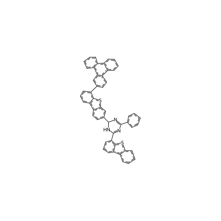 c1ccc(C2=NC(c3ccc4c(c3)sc3c(-c5ccc6c7ccccc7c7ccccc7c6c5)cccc34)NC(c3cccc4c3sc3ccccc34)=N2)cc1